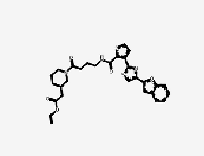 CCOC(=O)CC1CCCN(C(=O)CCCNC(=O)c2sccc2-c2nc(-c3cc4ccccc4o3)cs2)C1